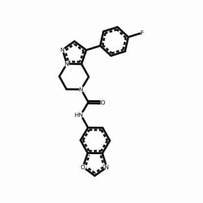 O=C(Nc1ccc2ncoc2c1)N1CCn2ncc(-c3ccc(F)cc3)c2C1